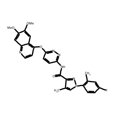 COc1cc2nccc(Oc3ccc(NC(=O)c4nn(-c5ccc(F)cc5C)cc4C)nn3)c2cc1OC